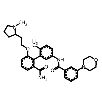 Cc1ccc(NC(=O)c2cccc(N3CCOCC3)c2)cc1-c1c(OCCC2CCCN2C)cccc1C(N)=O